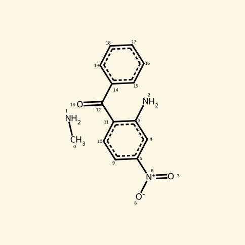 CN.Nc1cc([N+](=O)[O-])ccc1C(=O)c1ccccc1